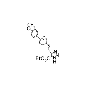 CCOC(=O)c1[nH]nnc1CSc1ccc(-c2ccc(OC(F)(F)F)cc2)cc1